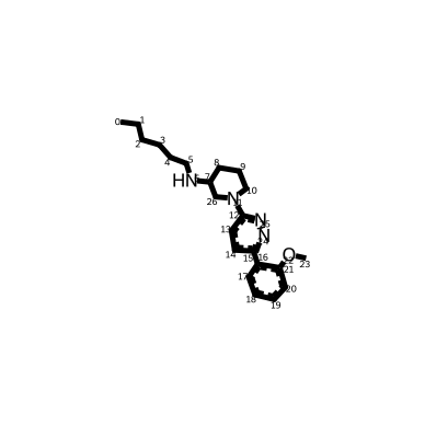 CCCCCCNC1CCCN(c2ccc(-c3ccccc3OC)nn2)C1